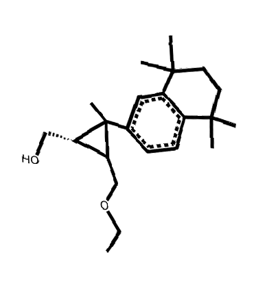 CCOCC1[C@H](CO)C1(C)c1ccc2c(c1)C(C)(C)CCC2(C)C